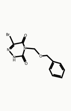 O=c1[nH]nc(Br)c(=O)n1COCc1ccccc1